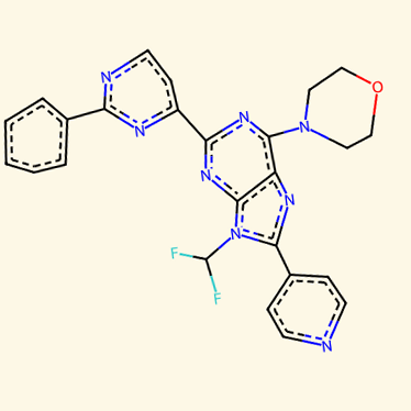 FC(F)n1c(-c2ccncc2)nc2c(N3CCOCC3)nc(-c3ccnc(-c4ccccc4)n3)nc21